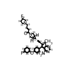 Cn1c(C#C[C@@H]2[C@H]3CN(C(=O)/C=C/CN4CCC(F)C4)C[C@@H]23)c(-c2ccc(Oc3cccc(F)c3)cc2)c2c(N)ncnc21